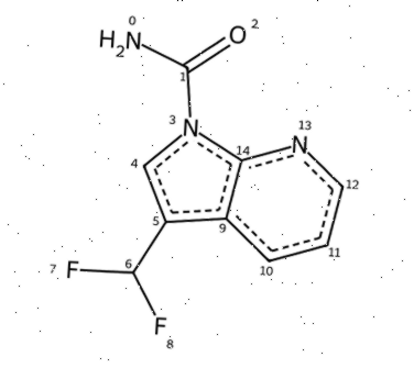 NC(=O)n1cc(C(F)F)c2cccnc21